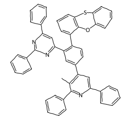 Cc1c(-c2ccc(-c3cccc4c3Oc3ccccc3S4)c(-c3cc(-c4ccccc4)nc(-c4ccccc4)n3)c2)cc(-c2ccccc2)nc1-c1ccccc1